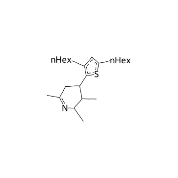 CCCCCCc1cc(CCCCCC)c(C2CC(C)=NC(C)C2C)s1